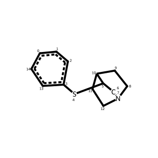 c1ccc(SC2CN3CCC2CC3)cc1